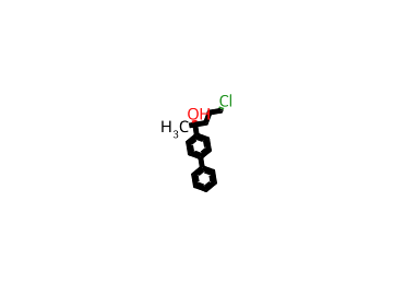 CC(O)(CCCCl)c1ccc(-c2ccccc2)cc1